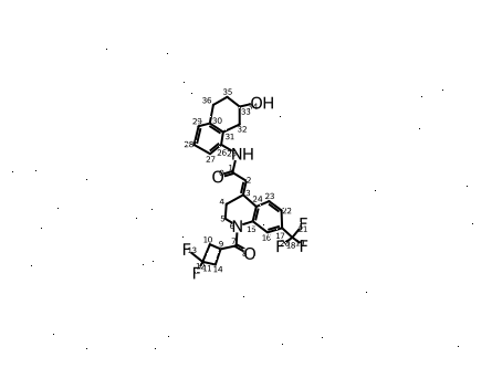 O=C(C=C1CCN(C(=O)C2CC(F)(F)C2)c2cc(C(F)(F)F)ccc21)Nc1cccc2c1CC(O)CC2